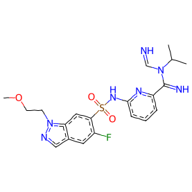 COCCn1ncc2cc(F)c(S(=O)(=O)Nc3cccc(C(=N)N(C=N)C(C)C)n3)cc21